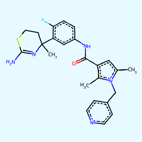 Cc1cc(C(=O)Nc2ccc(F)c(C3(C)CCSC(N)=N3)c2)c(C)n1Cc1ccncc1